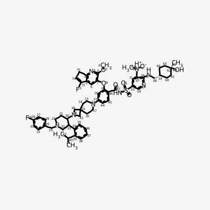 COc1nc2c(cc1Oc1cc(N3CCC4(CC3)CN(C3CCN(Cc5ccc(F)cc5)CC3c3ccccc3C(C)C)C4)ccc1C(=O)NS(=O)(=O)c1cnc(NC[C@H]3CC[C@](C)(O)CC3)c([NH+](C)[O-])c1)C(F)=CC2